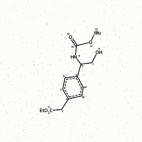 CCOC(=O)Cc1ccc(C(CO)NC(=O)OC(C)(C)C)cc1